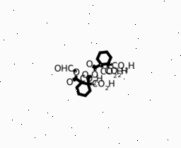 O=COC(=O)C1(C(=O)O)CCCCC1(C(=O)O)C(=O)OC(=O)C1(C(=O)O)CCCCC1(C(=O)O)C(=O)O